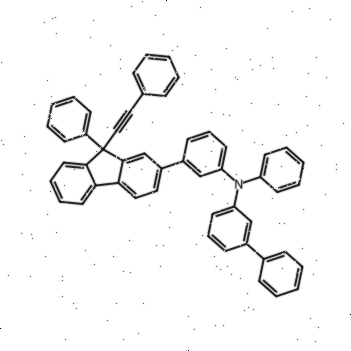 C(#CC1(c2ccccc2)c2ccccc2-c2ccc(-c3cccc(N(c4ccccc4)c4cccc(-c5ccccc5)c4)c3)cc21)c1ccccc1